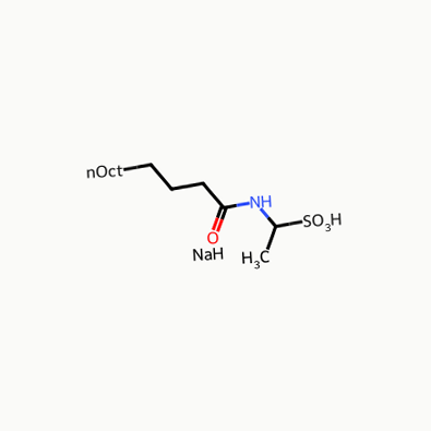 CCCCCCCCCCCC(=O)NC(C)S(=O)(=O)O.[NaH]